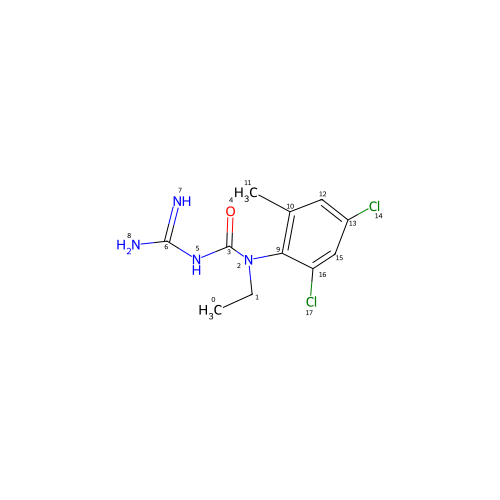 CCN(C(=O)NC(=N)N)c1c(C)cc(Cl)cc1Cl